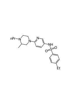 CCCN1CCN(c2ccc(NS(=O)(=O)c3ccc(CC)cc3)cn2)CC1C